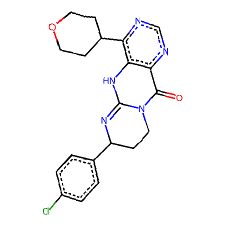 O=C1c2ncnc(C3CCOCC3)c2NC2=NC(c3ccc(Cl)cc3)CCN12